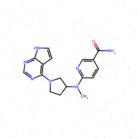 CN(c1ccc(C(N)=O)cn1)C1CCN(c2ncnc3[nH]ccc23)C1